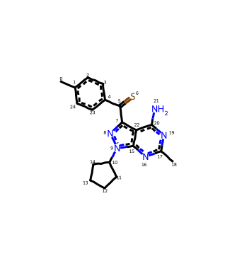 Cc1ccc(C(=S)c2nn(C3CCCC3)c3nc(C)nc(N)c23)cc1